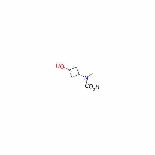 CN(C(=O)O)C1CC(O)C1